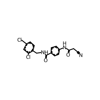 N#CCC(=O)Nc1ccc(C(=O)NCc2ccc(Cl)cc2Cl)cc1